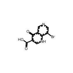 O=C(O)c1c[nH]c2c(Br)cncc2c1=O